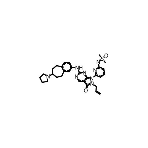 C=CCn1c(=O)c2cnc(Nc3ccc4c(c3)CCC(N3CCCC3)CC4)nc2n1-c1cccc(N=S(C)(C)=O)n1